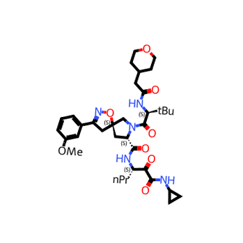 CCC[C@H](NC(=O)[C@@H]1C[C@]2(CC(c3cccc(OC)c3)=NO2)CN1C(=O)[C@@H](NC(=O)CC1CCOCC1)C(C)(C)C)C(=O)C(=O)NC1CC1